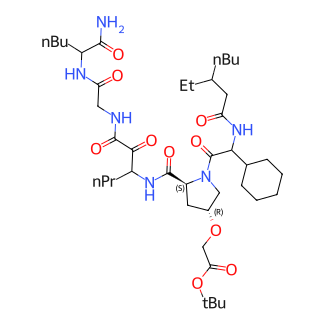 CCCCC(CC)CC(=O)NC(C(=O)N1C[C@H](OCC(=O)OC(C)(C)C)C[C@H]1C(=O)NC(CCC)C(=O)C(=O)NCC(=O)NC(CCCC)C(N)=O)C1CCCCC1